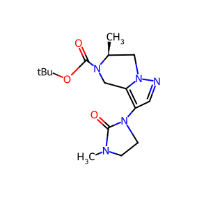 C[C@H]1Cn2ncc(N3CCN(C)C3=O)c2CN1C(=O)OC(C)(C)C